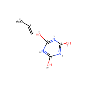 C=COC(C)=O.Oc1nc(O)nc(O)n1